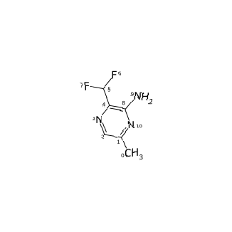 Cc1cnc(C(F)F)c(N)n1